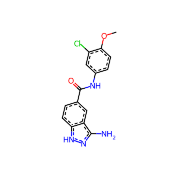 COc1ccc(NC(=O)c2ccc3[nH]nc(N)c3c2)cc1Cl